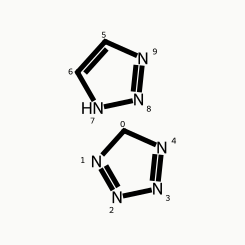 C1N=NN=N1.c1c[nH]nn1